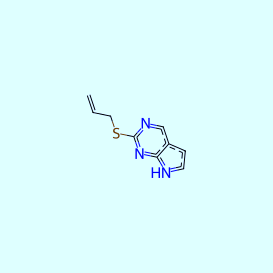 C=CCSc1ncc2cc[nH]c2n1